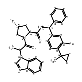 CC(C(=O)N1C[C@H](F)C[C@H]1C(=O)N[C@@H](c1ccccc1)c1ccc(C2(C)CC2)c(F)c1)n1cnc2ccccc21